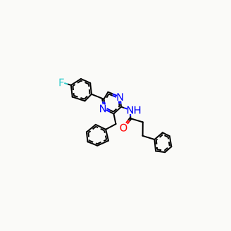 O=C(CCc1ccccc1)Nc1ncc(-c2ccc(F)cc2)nc1Cc1ccccc1